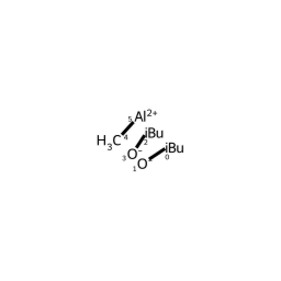 CCC(C)[O-].CCC(C)[O-].[CH3][Al+2]